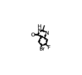 Cc1nc2cc(F)c(Br)cc2c(=O)[nH]1